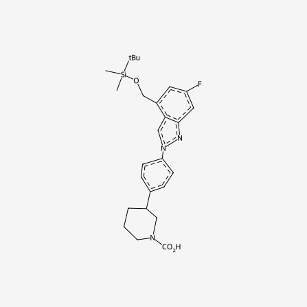 CC(C)(C)[Si](C)(C)OCc1cc(F)cc2nn(-c3ccc(C4CCCN(C(=O)O)C4)cc3)cc12